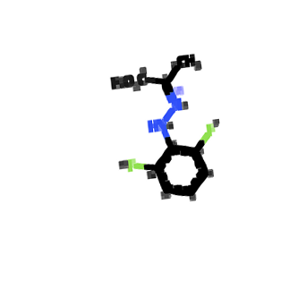 CCOC(=O)/C(C)=N\Nc1c(F)cccc1F